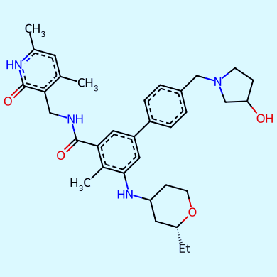 CC[C@@H]1CC(Nc2cc(-c3ccc(CN4CCC(O)C4)cc3)cc(C(=O)NCc3c(C)cc(C)[nH]c3=O)c2C)CCO1